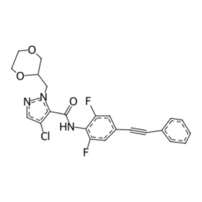 O=C(Nc1c(F)cc(C#Cc2ccccc2)cc1F)c1c(Cl)cnn1CC1COCCO1